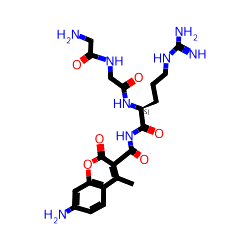 Cc1c(C(=O)NC(=O)[C@H](CCCNC(=N)N)NC(=O)CNC(=O)CN)c(=O)oc2cc(N)ccc12